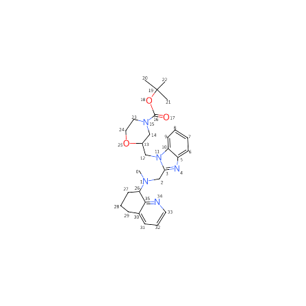 CN(Cc1nc2ccccc2n1CC1CN(C(=O)OC(C)(C)C)CCO1)C1CCCc2cccnc21